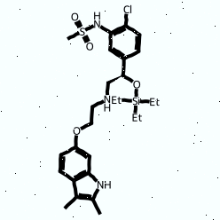 CC[Si](CC)(CC)O[C@@H](CNCCOc1ccc2c(C)c(C)[nH]c2c1)c1ccc(Cl)c(NS(C)(=O)=O)c1